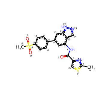 Cc1nc(C(=O)Nc2cc(-c3ccc(S(C)(=O)=O)cc3)cc3[nH]ncc23)cs1